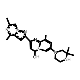 CC1=CC(N2CCNC(C)(C)C2)=CN2C1=NC(c1cc3c(C)nc(C)cn3n1)=CC2O